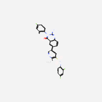 COc1ncc(-c2ccc3nc(N)n(-c4ccc(F)cc4C)c(=O)c3c2)cc1S(=O)(=O)Nc1ccc(F)cc1F